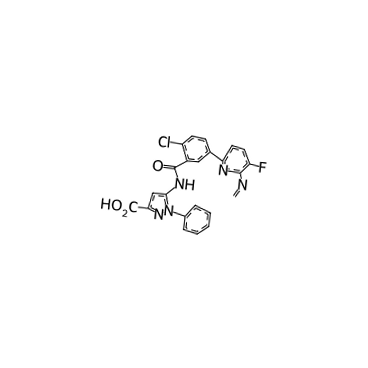 C=Nc1nc(-c2ccc(Cl)c(C(=O)Nc3cc(C(=O)O)nn3-c3ccccc3)c2)ccc1F